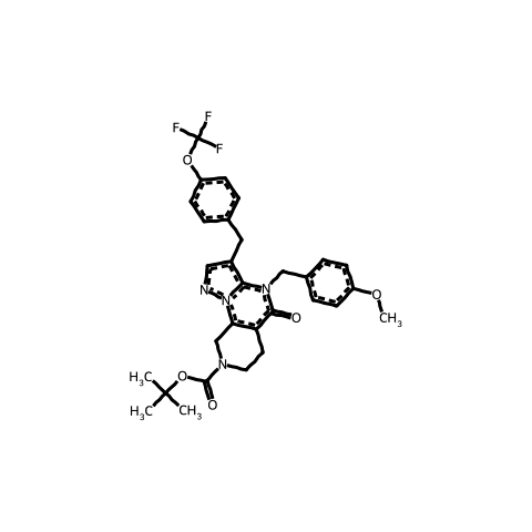 COc1ccc(Cn2c(=O)c3c(n4ncc(Cc5ccc(OC(F)(F)F)cc5)c24)CN(C(=O)OC(C)(C)C)CC3)cc1